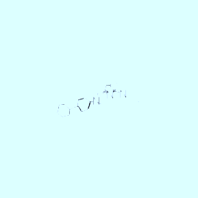 CN(C[C@H]1COC(N)=N1)c1ccc(C2CCCCC2)cc1